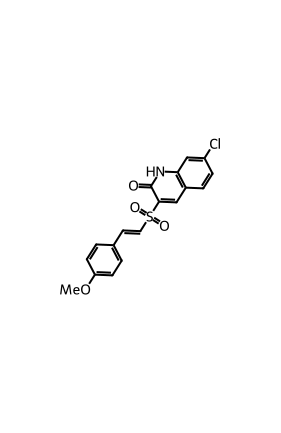 COc1ccc(/C=C/S(=O)(=O)c2cc3ccc(Cl)cc3[nH]c2=O)cc1